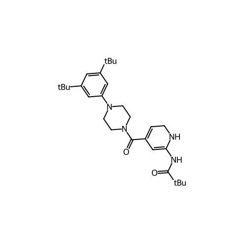 CC(C)(C)C(=O)NC1=CC(C(=O)N2CCN(c3cc(C(C)(C)C)cc(C(C)(C)C)c3)CC2)=CCN1